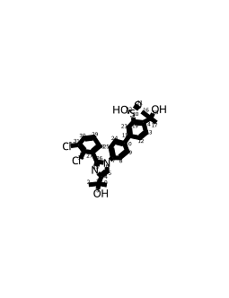 CC(C)(O)c1cn(-c2ccc(-c3ccc(C(C)(C)O)c(S(=O)O)c3)cc2)c(-c2cccc(Cl)c2Cl)n1